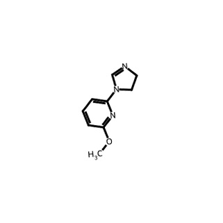 COc1cccc(N2C=NCC2)n1